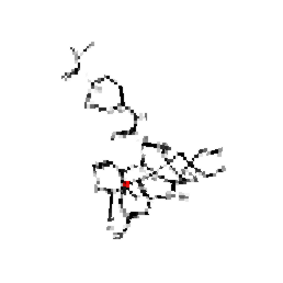 CN(C)C(=O)[C@@H]1CC[C@@H](NC(=O)[C@@H]2NC3(CC(CF)(CF)C3)[C@@]3(C(=O)Nc4cc(Cl)ccc43)[C@H]2c2ccnc(Cl)c2F)CO1